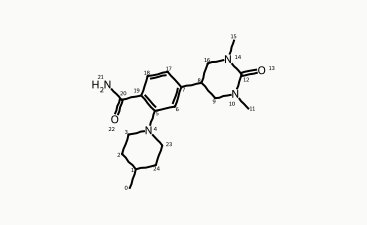 CC1CCN(c2cc(C3CN(C)C(=O)N(C)C3)ccc2C(N)=O)CC1